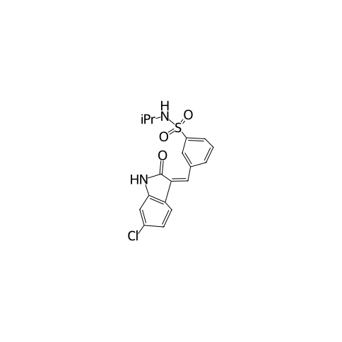 CC(C)NS(=O)(=O)c1cccc(C=C2C(=O)Nc3cc(Cl)ccc32)c1